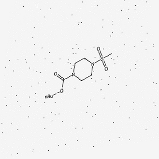 CCCCOC(=O)N1CCN(S(C)(=O)=O)CC1